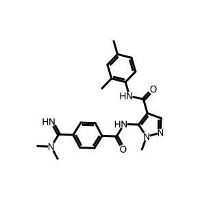 Cc1ccc(NC(=O)c2cnn(C)c2NC(=O)c2ccc(C(=N)N(C)C)cc2)c(C)c1